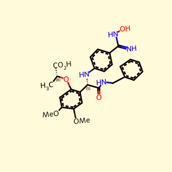 COc1cc(O[C@H](C)C(=O)O)c([C@H](Nc2ccc(C(=N)NO)cc2)C(=O)NCc2ccccc2)cc1OC